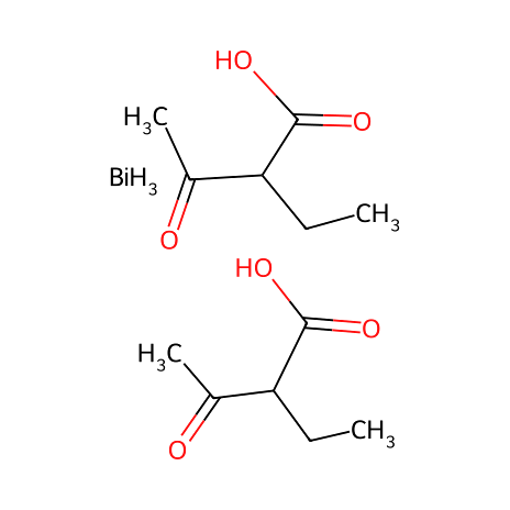 CCC(C(C)=O)C(=O)O.CCC(C(C)=O)C(=O)O.[BiH3]